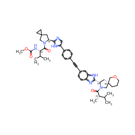 COC(=O)N[C@H](C(=O)N1CC2(CC2)C[C@H]1c1ncc(-c2ccc(C#Cc3ccc4nc([C@@H]5C[C@]6(CCCOC6)CN5C(=O)[C@@H](C)C(C)C)[nH]c4c3)cc2)[nH]1)C(C)C